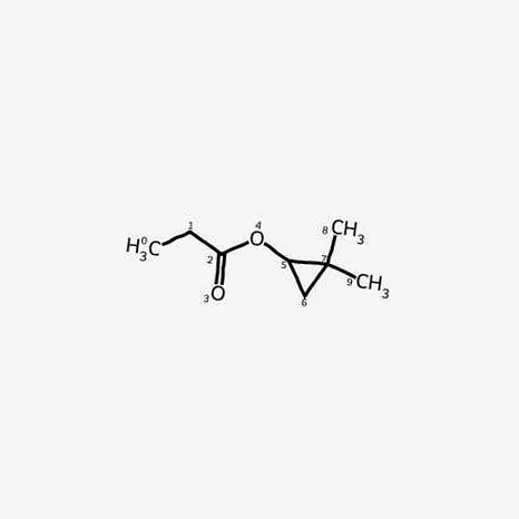 CCC(=O)OC1CC1(C)C